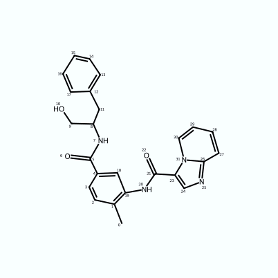 Cc1ccc(C(=O)NC(CO)Cc2ccccc2)cc1NC(=O)c1cnc2ccccn12